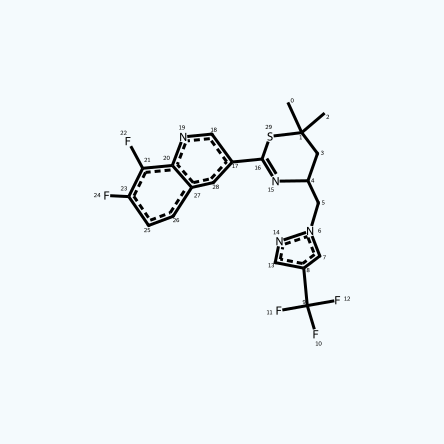 CC1(C)CC(Cn2cc(C(F)(F)F)cn2)N=C(c2cnc3c(F)c(F)ccc3c2)S1